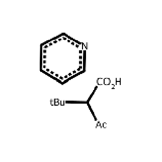 CC(=O)C(C(=O)O)C(C)(C)C.c1ccncc1